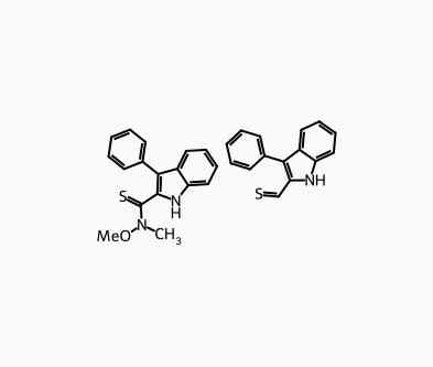 CON(C)C(=S)c1[nH]c2ccccc2c1-c1ccccc1.S=Cc1[nH]c2ccccc2c1-c1ccccc1